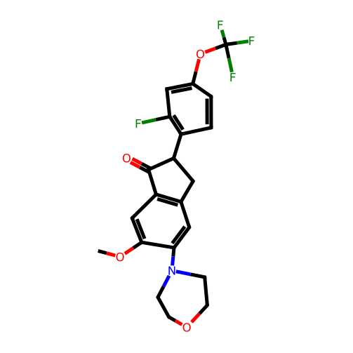 COc1cc2c(cc1N1CCOCC1)CC(c1ccc(OC(F)(F)F)cc1F)C2=O